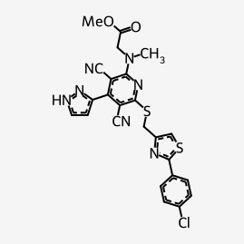 COC(=O)CN(C)c1nc(SCc2csc(-c3ccc(Cl)cc3)n2)c(C#N)c(-c2cc[nH]n2)c1C#N